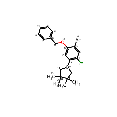 CC(=O)c1cc(F)c(B2CC(C)(C)C(C)(C)C2)cc1OCc1ccccc1